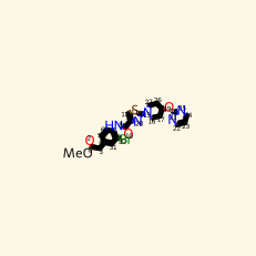 COC(=O)Cc1ccc(NC(=O)c2csc(N3CCC(Oc4ncccn4)CC3)n2)c(Br)c1